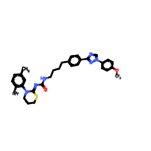 CCCc1ccc(C)cc1N1CCCS/C1=N\C(=O)NCCCCc1ccc(-c2ncn(-c3ccc(OC(F)(F)F)cc3)n2)cc1